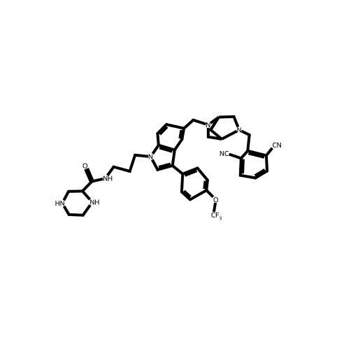 N#Cc1cccc(C#N)c1CN1CC2CC1CN2Cc1ccc2c(c1)c(-c1ccc(OC(F)(F)F)cc1)cn2CCCNC(=O)C1CNCCN1